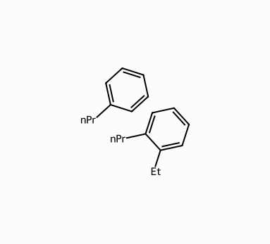 CCCc1ccccc1.CCCc1ccccc1CC